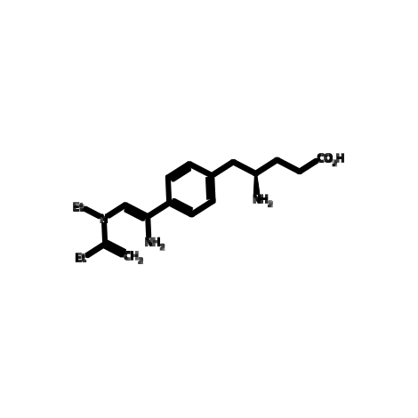 C=C(CC)N(/C=C(\N)c1ccc(C[C@H](N)CCC(=O)O)cc1)CC